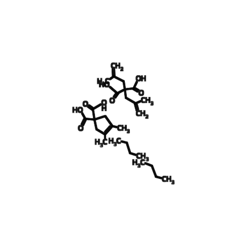 C=C(C)CC(CC(=C)C)(C(=O)O)C(=O)O.CC1=C(C)CC(C(=O)O)(C(=O)O)C1.CCCC.CCCC